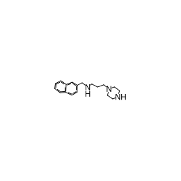 c1ccc2cc(CNCCCN3CCNCC3)ccc2c1